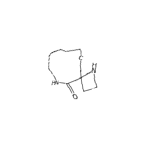 O=C1NCCCCCC12CCN2